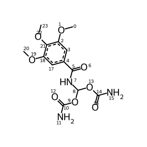 COc1cc(C(=O)NC(OC(N)=O)OC(N)=O)cc(OC)c1OC